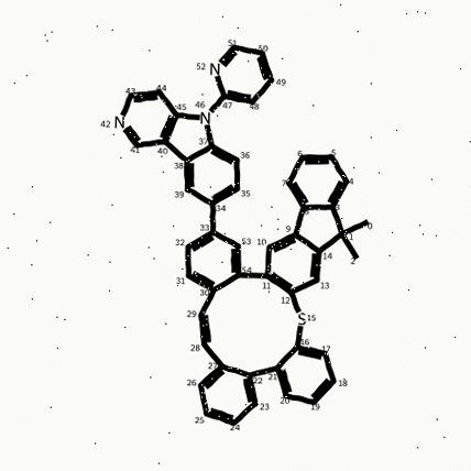 CC1(C)c2ccccc2-c2cc3c(cc21)Sc1ccccc1-c1ccccc1/C=C\c1ccc(-c2ccc4c(c2)c2cnccc2n4-c2ccccn2)cc1-3